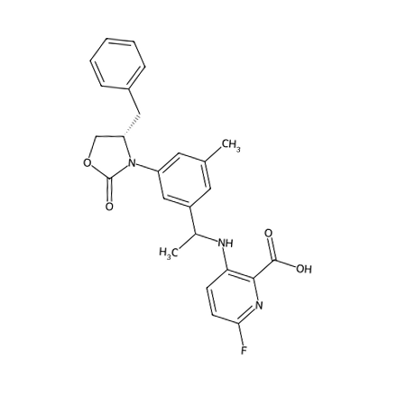 Cc1cc(C(C)Nc2ccc(F)nc2C(=O)O)cc(N2C(=O)OC[C@@H]2Cc2ccccc2)c1